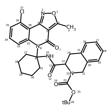 Cc1onc2c1c(=O)n(C1(NC(=O)C3Cc4ccccc4CN3C(=O)OC(C)(C)C)CCCCC1)c1cccc(Cl)c21